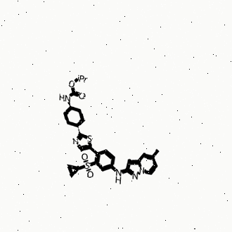 Cc1ccn2nc(Nc3ccc(-c4cnc([C@H]5CC[C@H](NC(=O)OC(C)C)CC5)s4)c(S(=O)(=O)C4CC4)c3)cc2c1